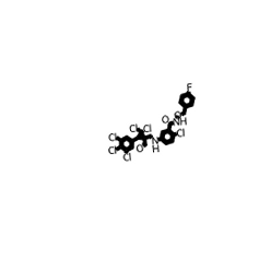 O=CC1(CNc2ccc(Cl)c(C(=O)NOCc3ccc(F)cc3)c2)C(c2cc(Cl)c(Cl)c(Cl)c2)C1(Cl)Cl